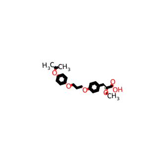 CO[C@@H](Cc1ccc(OCCCOc2ccc(OC(C)C)cc2)cc1)C(=O)O